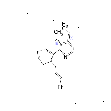 C/C=c1/ccnc(C2=CC=CCC2CC=CCC)/c1=C/C